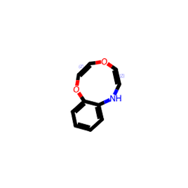 C1=C\O/C=C\Oc2ccccc2N/1